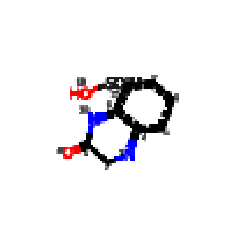 O=C1CN=c2ccccc2=N1.O=S(=O)(O)O